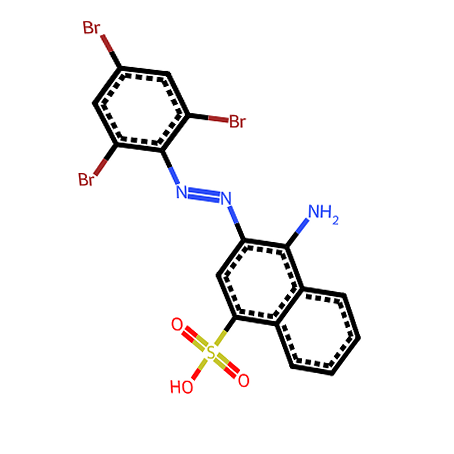 Nc1c(N=Nc2c(Br)cc(Br)cc2Br)cc(S(=O)(=O)O)c2ccccc12